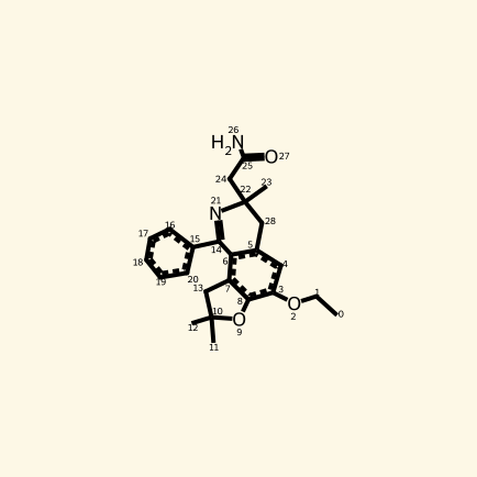 CCOc1cc2c(c3c1OC(C)(C)C3)C(c1ccccc1)=NC(C)(CC(N)=O)C2